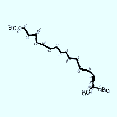 CCCC[C@@H](O)C#CCCCCCCCCCCCCCC(=O)OCC